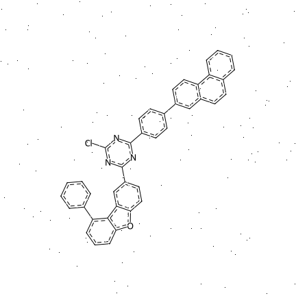 Clc1nc(-c2ccc(-c3ccc4c(ccc5ccccc54)c3)cc2)nc(-c2ccc3oc4cccc(-c5ccccc5)c4c3c2)n1